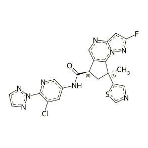 C[C@]1(c2cncs2)C[C@@H](C(=O)Nc2cnc(-n3nccn3)c(Cl)c2)c2cnc3cc(F)nn3c21